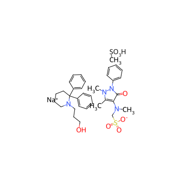 CS(=O)(=O)O.Cc1c(N(C)CS(=O)(=O)[O-])c(=O)n(-c2ccccc2)n1C.OCCCN1CCCCC1(c1ccccc1)c1ccccc1.[Na+]